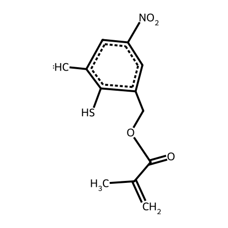 [CH]c1cc([N+](=O)[O-])cc(COC(=O)C(=C)C)c1S